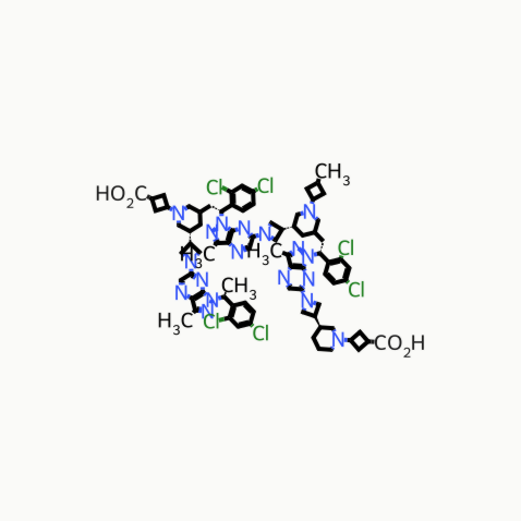 Cc1nn([C@H](C)c2ccc(Cl)cc2Cl)c2nc(N3CC([C@H]4CC(C[C@H](c5ccc(Cl)cc5Cl)n5nc(C)c6ncc(N7CC([C@H]8CC(C[C@H](c9ccc(Cl)cc9Cl)n9nc(C)c%10ncc(N%11CC([C@@H]%12CCCN(C%13CC(C(=O)O)C%13)C%12)C%11)nc%109)CN(C9CC(C)C9)C8)C7)nc65)CN(C5CC(C(=O)O)C5)C4)C3)cnc12